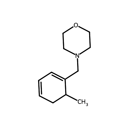 CC1CC=CC=C1CN1CCOCC1